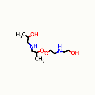 CC(O)CNCC(C)OOCCNCCO